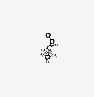 Cc1cc(C)c(S(=O)(=O)NC(Cc2c[nH]c3ccc(-c4ccccc4)cc23)C(F)(F)F)c(C)c1